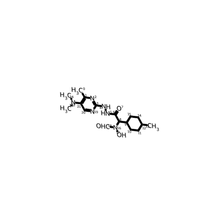 Cc1nc(NNC(=O)C(C2CCC(C)CC2)N(O)C=O)ncc1N(C)C